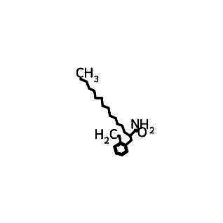 C=Cc1ccccc1CC(CCCCCCCCCCCCCC)C(N)=O